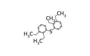 CCc1cccc(Sc2cccc(CC)c2CC)c1CC